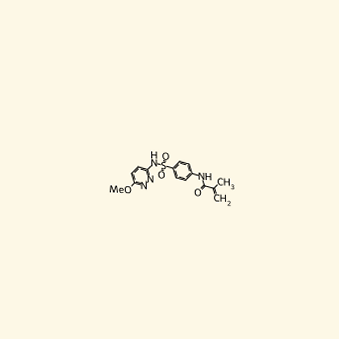 C=C(C)C(=O)Nc1ccc(S(=O)(=O)Nc2ccc(OC)nn2)cc1